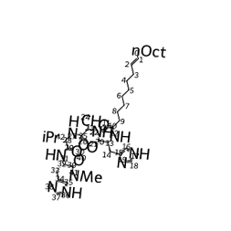 CCCCCCCC/C=C/CCCCCCCC(=O)N[C@@H](Cc1c[nH]cn1)C(=O)N[C@@H](C)C(=O)N[C@H](C(=O)N[C@@H](Cc1c[nH]cn1)C(=O)NC)C(C)C